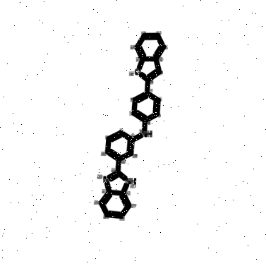 c1cc(Nc2ccc(-c3cc4ccccc4o3)cc2)cc(-c2nc3ccccc3[nH]2)c1